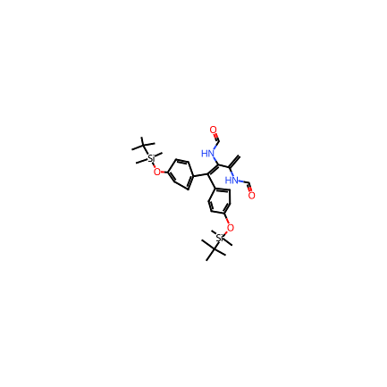 C=C(NC=O)C(NC=O)=C(c1ccc(O[Si](C)(C)C(C)(C)C)cc1)c1ccc(O[Si](C)(C)C(C)(C)C)cc1